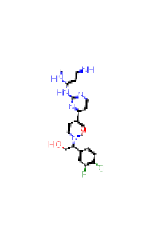 C/C=C(\C=C/N(C=O)C(CO)c1ccc(Cl)c(F)c1)c1ccnc(N/C(=C/C=N)NC)n1